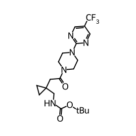 CC(C)(C)OC(=O)NCC1(CC(=O)N2CCN(c3ncc(C(F)(F)F)cn3)CC2)CC1